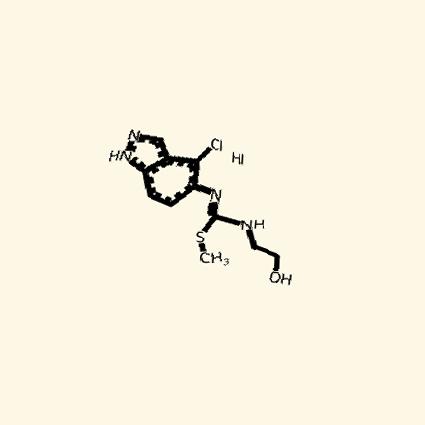 CSC(=Nc1ccc2[nH]ncc2c1Cl)NCCO.I